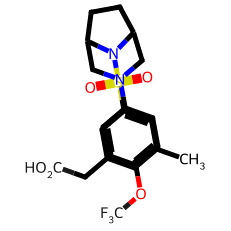 Cc1cc(CC(=O)O)cc(S(=O)(=O)N2C3CCC2CN(c2ccc(OC(F)(F)F)cc2)C3)c1